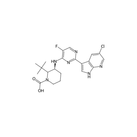 CC(C)(C)C1[C@@H](Nc2nc(-c3c[nH]c4ncc(Cl)cc34)ncc2F)CCCN1C(=O)O